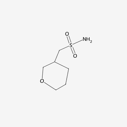 NS(=O)(=O)CC1CCCOC1